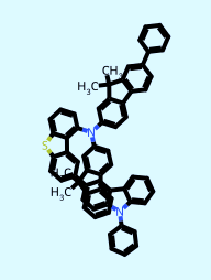 CC1(C)c2ccccc2-c2ccc(N(c3ccc4c(c3)C(C)(C)c3cc(-c5ccccc5)ccc3-4)c3cccc4sc5ccc(-c6ccc7c(c6)c6ccccc6n7-c6ccccc6)cc5c34)cc21